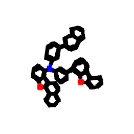 c1cc(-c2ccc3ccccc3c2)cc(N(c2cccc(-c3cccc4c3oc3ccccc34)c2)c2cccc3oc4c5ccccc5ccc4c23)c1